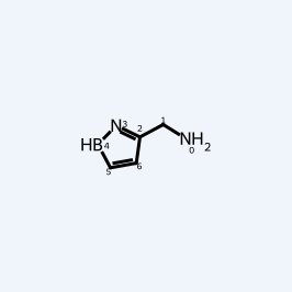 NCC1=NBC=C1